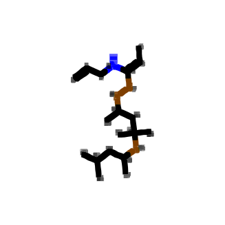 C=CCN/C(=C\C)SSC(C)CC(C)(C)SC(C)CC(C)C